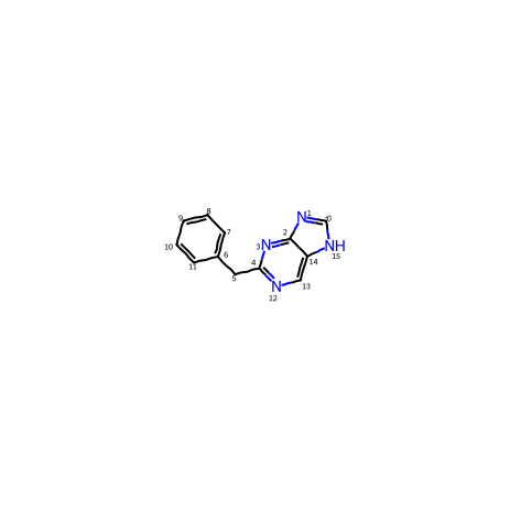 [c]1nc2nc(Cc3ccccc3)ncc2[nH]1